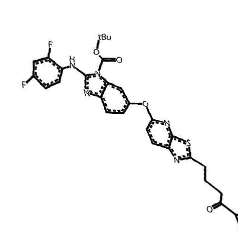 CC(C)(C)OC(=O)n1c(Nc2ccc(F)cc2F)nc2ccc(Oc3ccc4nc(CCCC(=O)C5CC5)sc4n3)cc21